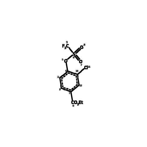 CCOC(=O)c1ccc(OS(=O)(=O)C(F)(F)F)c(Cl)c1